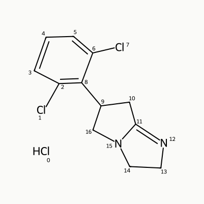 Cl.Clc1cccc(Cl)c1C1CC2=NCCN2C1